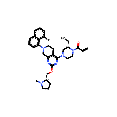 C=CC(=O)N1CCN(c2nc(OC[C@@H]3CCCN3C)nc3c2CCN(c2cccc4cccc([13CH3])c24)C3)C[C@@H]1CC#N